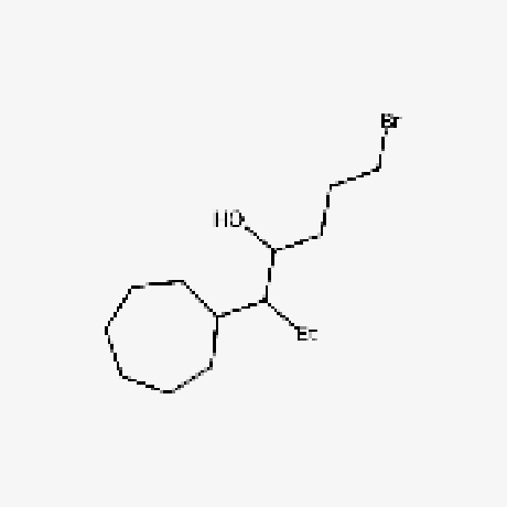 CCC(C(O)CCCBr)C1CCCCCC1